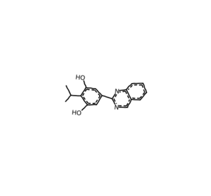 CC(C)c1c(O)cc(-c2ncc3ccccc3n2)cc1O